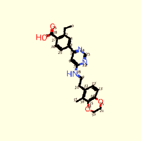 CCc1cc(-c2cc(NCCc3ccc4c(c3C)OCCO4)ncn2)ccc1C(=O)O